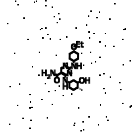 CCO[C@H]1CC[C@H](Nc2ncc(C(N)=O)c(N[C@@H]3CC[C@@H](C)[C@H](O)C3)n2)CC1